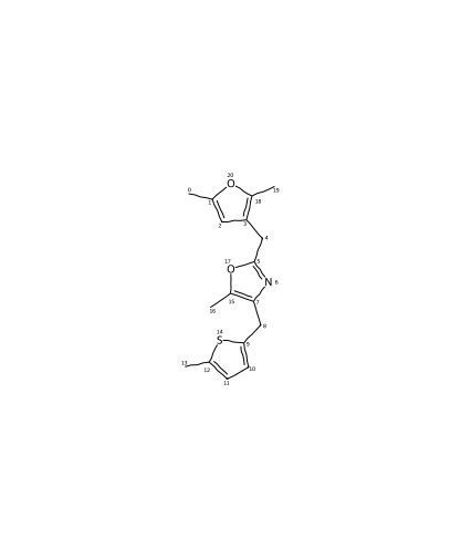 Cc1cc(Cc2nc(Cc3ccc(C)s3)c(C)o2)c(C)o1